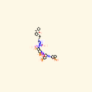 C=C1c2ccccc2C(=O)c2c(CC(C)(C)CCC(C)Nc3nc(O)nc(Nc4cc5cc(/N=N/c6ccc(/N=N/c7ccc8c(S(=O)(=O)O)cccc8c7)c7ccc(S(=O)(=O)O)cc67)c(S(=O)(=O)O)cc5cc4S(=O)(=O)O)n3)cccc21